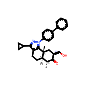 C[C@H]1C(=O)/C(=C\O)C[C@@]2(C)c3c(c(C4CC4)nn3-c3ccc(-c4ccccc4)cc3)CC[C@H]12